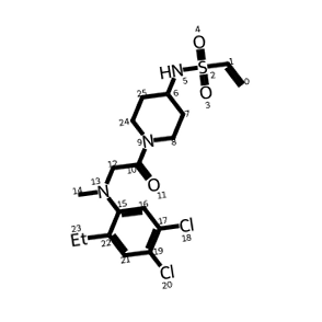 C=CS(=O)(=O)NC1CCN(C(=O)CN(C)c2cc(Cl)c(Cl)cc2CC)CC1